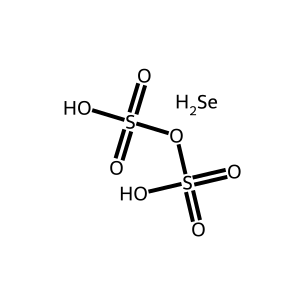 O=S(=O)(O)OS(=O)(=O)O.[SeH2]